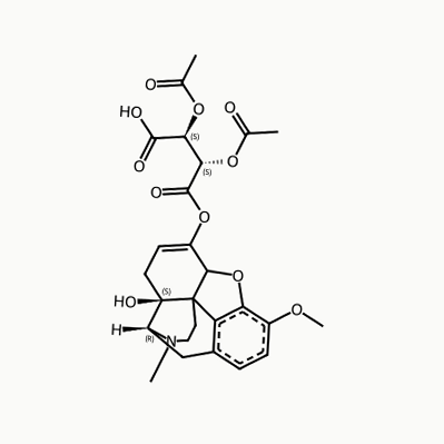 COc1ccc2c3c1OC1C(OC(=O)[C@@H](OC(C)=O)[C@H](OC(C)=O)C(=O)O)=CC[C@@]4(O)[C@@H](C2)N(C)CCC314